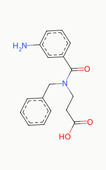 Nc1cccc(C(=O)N(CCC(=O)O)Cc2ccccc2)c1